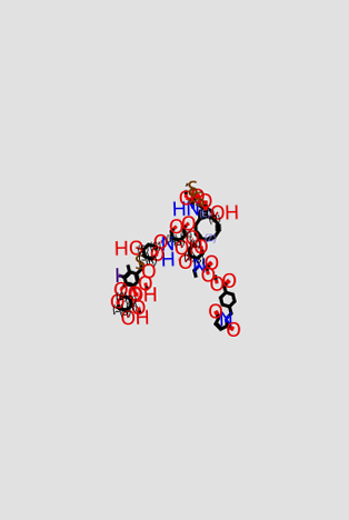 CCN(C(=O)OCOC(=O)C1CCC(CN2C(=O)C=CC2=O)CC1)[C@H]1CO[C@@H](O[C@H]2C(OC3C#C/C=C\C#C[C@@]4(O)CC(=O)C(NC(=O)OC)=C3/C4=C\CSSSC)OC[C@@H](NO[C@H]3C[C@H](O)[C@H](SC(=O)c4c(C)c(I)c(O[C@@H]5O[C@@H](C)[C@H](O)[C@@H](OC)[C@H]5O)c(OC)c4OC)[C@@H](C)O3)[C@@H]2O)C[C@@H]1OC